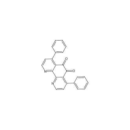 O=C1C(=O)c2c(-c3ccccc3)ccnc2-c2nccc(-c3ccccc3)c21